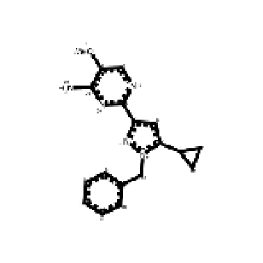 COc1cnc(-c2cc(C3CC3)n(Cc3ccccc3)n2)nc1N